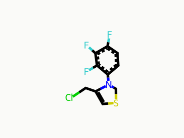 Fc1ccc(N2CSC=C2CCl)c(F)c1F